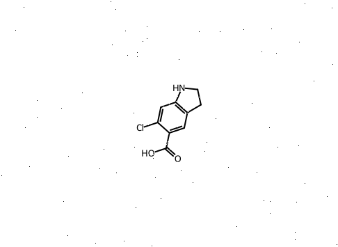 O=C(O)c1cc2c(cc1Cl)NCC2